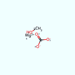 CO.O=C([O-])[O-].[Mg+2]